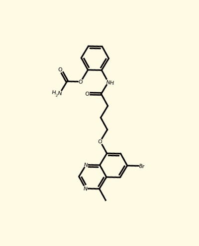 Cc1ncnc2c(OCCCC(=O)Nc3ccccc3OC(N)=O)cc(Br)cc12